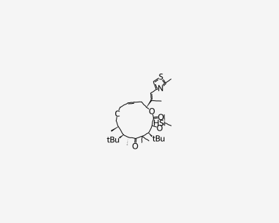 CC(=Cc1csc(C)n1)[C@@H]1CC=CCCC[C@H](C)[C@H](C(C)(C)C)[C@@H](C)C(=O)C(C)(C)[C@H](C(C)(C)C)C(O[SiH](C)C)C(=O)O1